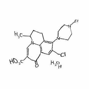 CCN1CCN(c2c(Cl)cc3c(=O)c(C(=O)O)cn4c3c2CCC4C)CC1.I.O